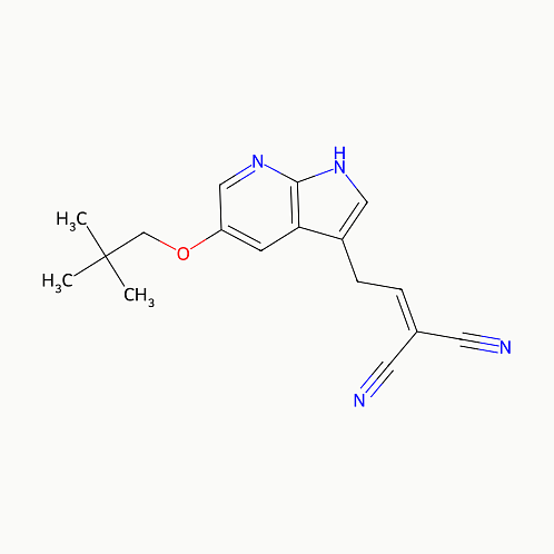 CC(C)(C)COc1cnc2[nH]cc(CC=C(C#N)C#N)c2c1